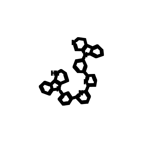 C1=Cc2c(c3ccccc3n2-c2cccc(-c3cccc(-c4cccc(-c5cccc(-n6c7c(c8ccccc86)CCN=C7)c5)n4)n3)c2)NC1